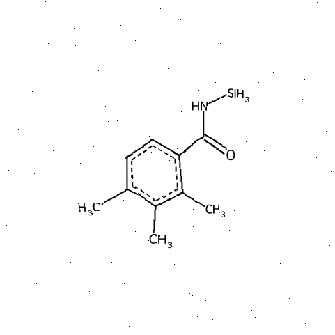 Cc1ccc(C(=O)N[SiH3])c(C)c1C